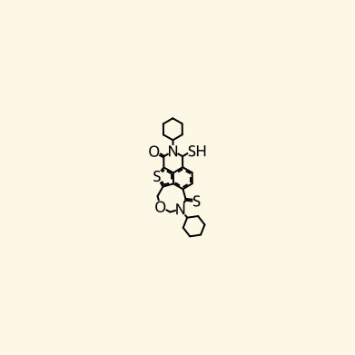 O=C1c2sc3c4c(ccc(c24)C(S)N1C1CCCCC1)C(=S)N(C1CCCCC1)COC3